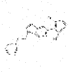 CCc1cccc(CC)c1-c1cc2ccn(CCc3ccccc3)c2cn1